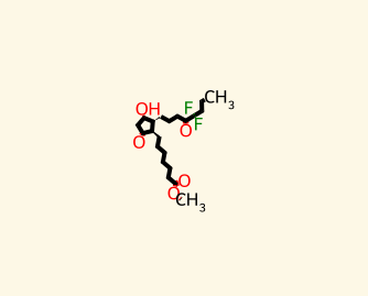 CCCC(F)(F)C(=O)CCC[C@H]1[C@H](O)CC(=O)[C@@H]1CCCCCCC(=O)OC